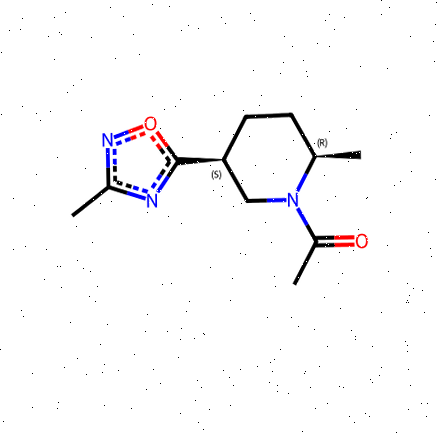 CC(=O)N1C[C@@H](c2nc(C)no2)CC[C@H]1C